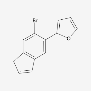 Brc1cc2c(cc1-c1ccco1)C=CC2